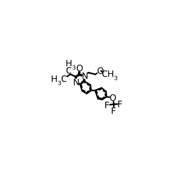 COCCn1c(=O)c(C(C)C)nc2ccc(-c3ccc(OC(F)(F)F)cc3)cc21